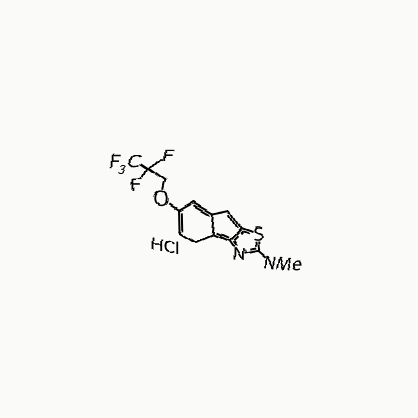 CNc1nc2c(s1)=CC1=CC(OCC(F)(F)C(F)(F)F)=CCC=21.Cl